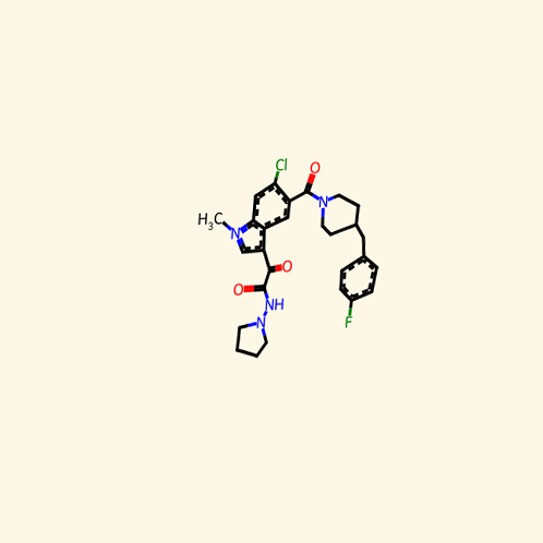 Cn1cc(C(=O)C(=O)NN2CCCC2)c2cc(C(=O)N3CCC(Cc4ccc(F)cc4)CC3)c(Cl)cc21